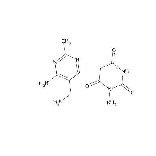 Cc1ncc(CN)c(N)n1.NN1C(=O)CC(=O)NC1=O